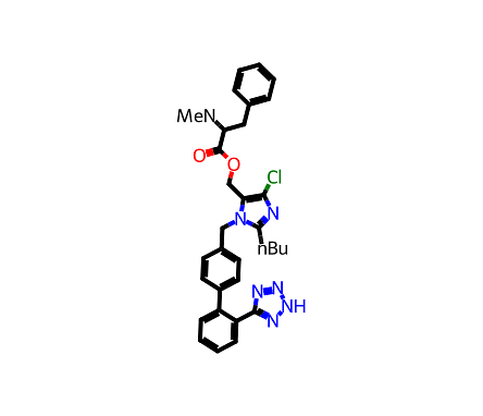 CCCCc1nc(Cl)c(COC(=O)C(Cc2ccccc2)NC)n1Cc1ccc(-c2ccccc2-c2nn[nH]n2)cc1